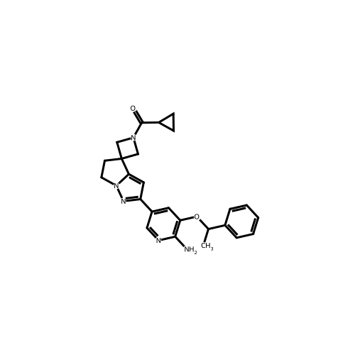 CC(Oc1cc(-c2cc3n(n2)CCC32CN(C(=O)C3CC3)C2)cnc1N)c1ccccc1